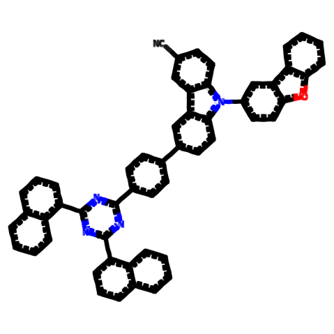 N#Cc1ccc2c(c1)c1cc(-c3ccc(-c4nc(-c5cccc6ccccc56)nc(-c5cccc6ccccc56)n4)cc3)ccc1n2-c1ccc2oc3ccccc3c2c1